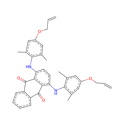 C=CCOc1cc(C)c(Nc2ccc(Nc3c(C)cc(OCC=C)cc3C)c3c2C(=O)c2ccccc2C3=O)c(C)c1